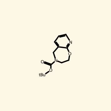 CC(C)(C)OC(=O)N1CCOc2ncccc2C1